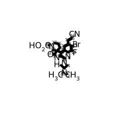 CN(C)C1CN(c2nc3c(F)c(Br)c(/C=C/C#N)cc3c3c2NC(=O)C32CCCN(C(=O)O)C2)C1